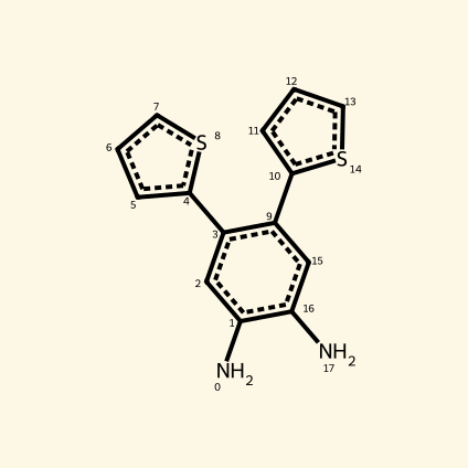 Nc1cc(-c2cccs2)c(-c2cccs2)cc1N